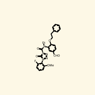 CCN(C(=O)n1nnn(-c2c(F)cccc2OC)c1=O)c1cc(C=O)ccc1OCCc1ccccc1